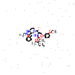 COc1cccc(OCC(NC(=O)OC(C)(C)C)C(=O)N2CCC3=NN(C)C(=O)[C@]3(Cc3ccccc3)C2)c1